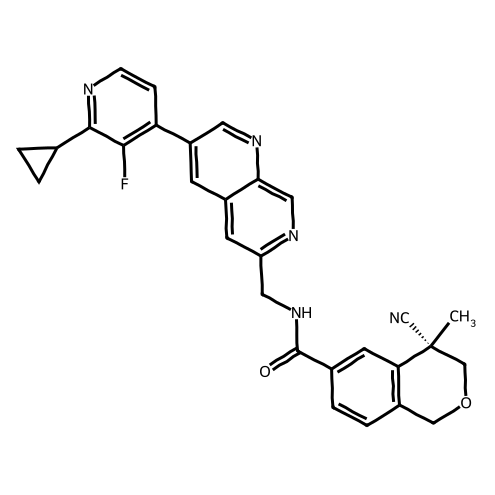 C[C@@]1(C#N)COCc2ccc(C(=O)NCc3cc4cc(-c5ccnc(C6CC6)c5F)cnc4cn3)cc21